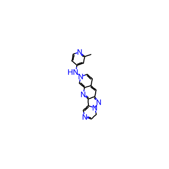 Cc1cc(NN2C=Cc3cc4nn5c(c4nc3=C2)=CN=CC5)ccn1